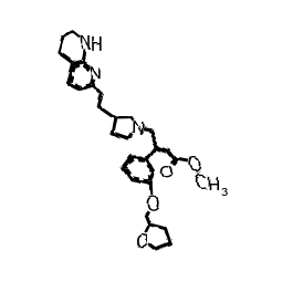 COC(=O)CC(CN1CCC(CCc2ccc3c(n2)NCCC3)C1)c1cccc(OCC2CCCO2)c1